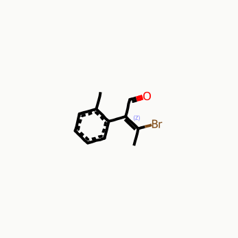 C/C(Br)=C(/C=O)c1ccccc1C